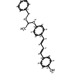 CC(OCc1ccccc1)Oc1ccc(C=CC=Cc2ccc(O)cc2)cc1